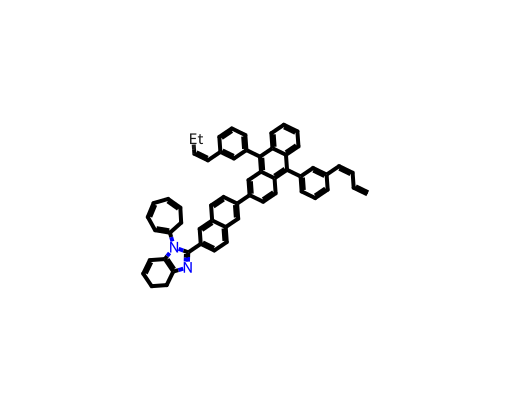 C=C/C=C\c1cccc(-c2c3ccccc3c(-c3cccc(/C=C\CC)c3)c3cc(-c4ccc5cc(-c6nc7c(n6C6=CC=CC=CC6)C=CCC7)ccc5c4)ccc23)c1